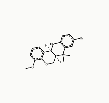 COc1cccc2c1OC[C@H]1[C@@H]2Nc2ccc(Br)cc2C1(C)C